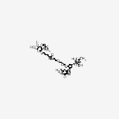 CC(=O)N[C@H]1[C@H](OCCCCC(=O)NCCOCCOCO[C@@H]2C[C@@H](COP(=O)(O)OC(C)C)C[C@H]2n2cnc3c(=O)[nH]c(N)nc32)O[C@H](CO)[C@H](O)[C@@H]1O